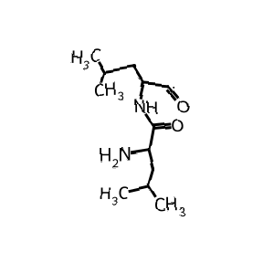 CC(C)CC([C]=O)NC(=O)C(N)CC(C)C